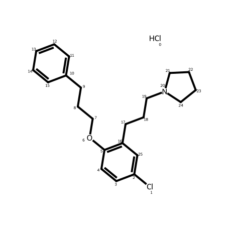 Cl.Clc1ccc(OCCCc2ccccc2)c(CCCN2CCCC2)c1